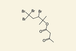 CC(=O)CC(=O)OC(C)(C)C(Br)CC(Br)(Br)Br